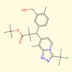 Cc1ccc(C(c2ccn3c(C(F)(F)F)nnc3c2C)C(C)(C)C(=O)OC(C)(C)C)cc1CO